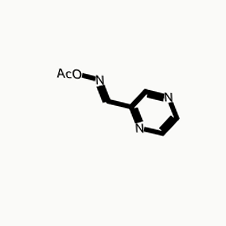 CC(=O)O/N=C/c1cnccn1